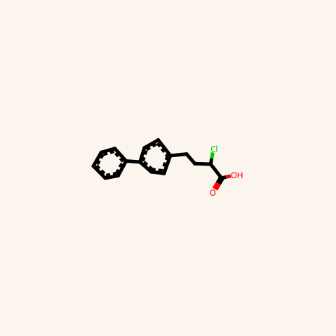 O=C(O)C(Cl)CCc1ccc(-c2ccccc2)cc1